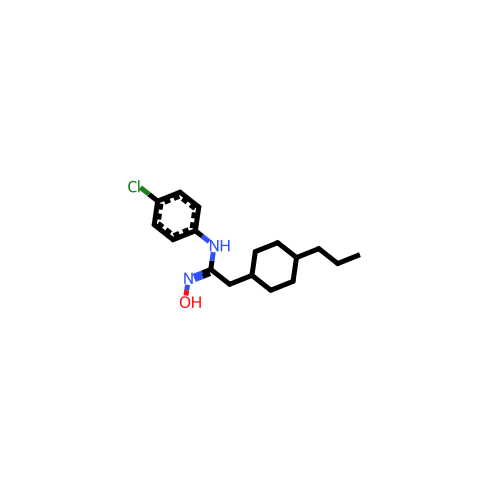 CCCC1CCC(C/C(=N\O)Nc2ccc(Cl)cc2)CC1